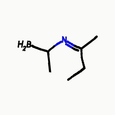 BC(C)/N=C(/C)CC